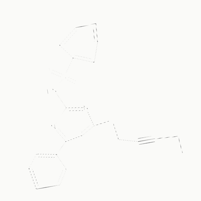 CCC#CCOc1cc(-c2ccccc2)nc(NS(=O)(=O)c2ccccc2)n1